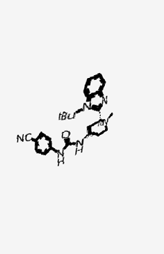 CN1CC[C@@H](NC(=O)Nc2ccc(C#N)cc2)C[C@@H]1c1nc2ccccc2n1C(C)(C)C